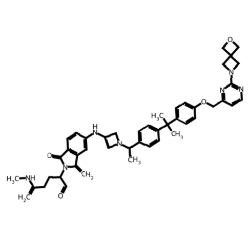 C=C(CCC(C=O)N1C(=C)c2cc(NC3CN(C(C)c4ccc(C(C)(C)c5ccc(OCc6ccnc(N7CC8(COC8)C7)n6)cc5)cc4)C3)ccc2C1=O)NC